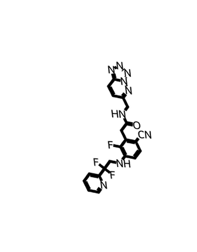 N#Cc1ccc(NCC(F)(F)c2ccccn2)c(F)c1CC(=O)NCc1ccc2nnnn2n1